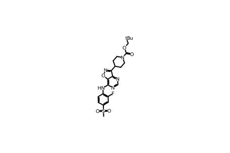 CC(C)(C)COC(=O)N1CCC(c2noc3c(Nc4ccc(S(C)(=O)=O)cc4F)ncnc23)CC1